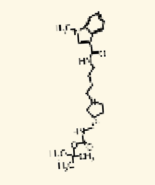 Cn1cc(C(=O)NCCCCN2CC[C@H](CNC(=O)OC(C)(C)C)C2)c2ccccc21